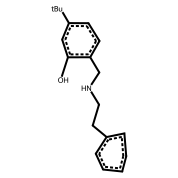 CC(C)(C)c1ccc(CNCCc2ccccc2)c(O)c1